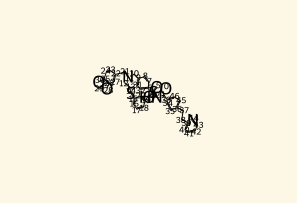 O=C(NS(=O)(=O)c1ccc(CN(CCSc2ccccc2)Cc2ccc3c(c2)OCO3)cc1)c1ccc(CCc2ccccn2)cc1